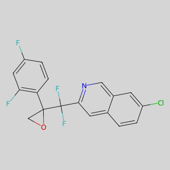 Fc1ccc(C2(C(F)(F)c3cc4ccc(Cl)cc4cn3)CO2)c(F)c1